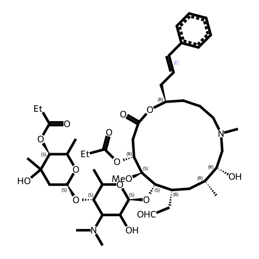 CCC(=O)O[C@@H]1CC(=O)O[C@@H](C/C=C/c2ccccc2)CCCN(C)C[C@H](O)[C@H](C)C[C@H](CC=O)[C@H](O[C@@H]2OC(C)[C@@H](O[C@H]3CC(C)(O)[C@@H](OC(=O)CC)C(C)O3)C(N(C)C)C2O)[C@H]1OC